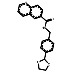 O=C(NCc1ccc(C2OCCO2)cc1)c1ccc2ncccc2c1